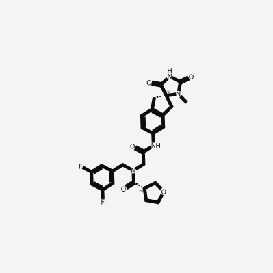 CN1C(=O)NC(=O)[C@@]12Cc1ccc(NC(=O)CN(Cc3cc(F)cc(F)c3)C(=O)[C@H]3CCOC3)cc1C2